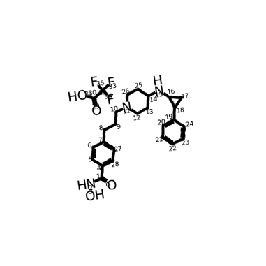 O=C(NO)c1ccc(CCCN2CCC(NC3CC3c3ccccc3)CC2)cc1.O=C(O)C(F)(F)F